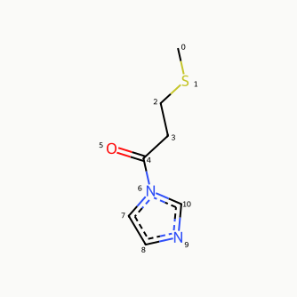 CSCCC(=O)n1ccnc1